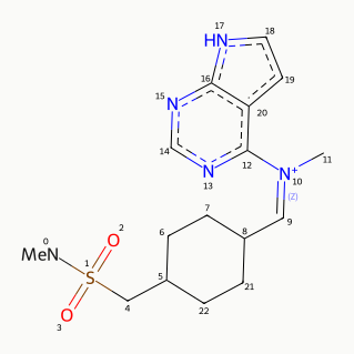 CNS(=O)(=O)CC1CCC(/C=[N+](/C)c2ncnc3[nH]ccc23)CC1